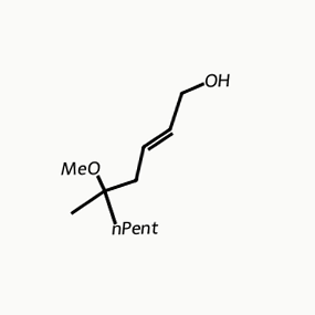 CCCCCC(C)(C/C=C/CO)OC